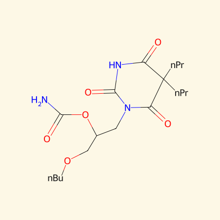 CCCCOCC(CN1C(=O)NC(=O)C(CCC)(CCC)C1=O)OC(N)=O